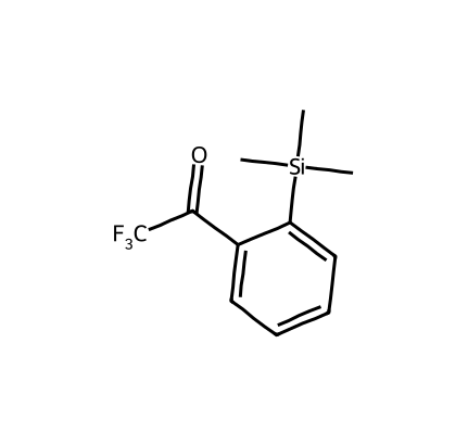 C[Si](C)(C)c1ccccc1C(=O)C(F)(F)F